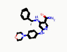 C[C@@H](Nc1cc(Nc2ccc(N3CCOCC3)cc2)ncc1C(N)=O)c1ccccc1